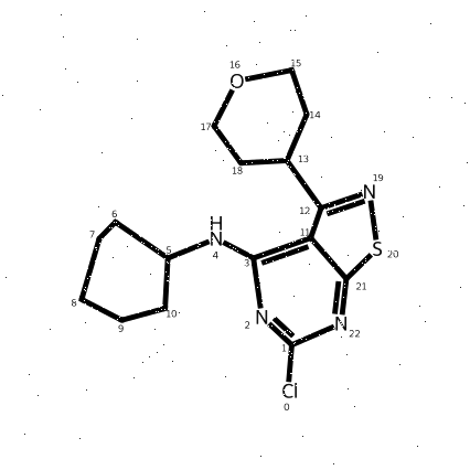 Clc1nc(NC2CCCCC2)c2c(C3CCOCC3)nsc2n1